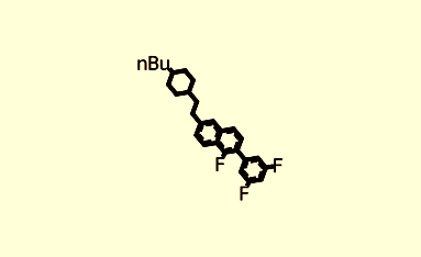 CCCCC1CCC(CCc2ccc3c(F)c(-c4cc(F)cc(F)c4)ccc3c2)CC1